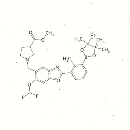 COC(=O)C1CCN(Cc2cc3nc(-c4cccc(B5OC(C)(C)C(C)(C)O5)c4C)oc3cc2OC(F)F)C1